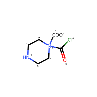 O=C([O-])[N+]1(C(=O)Cl)CCNCC1